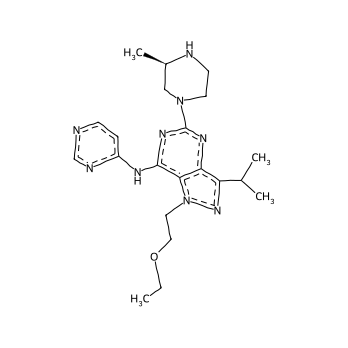 CCOCCn1nc(C(C)C)c2nc(N3CCN[C@H](C)C3)nc(Nc3ccncn3)c21